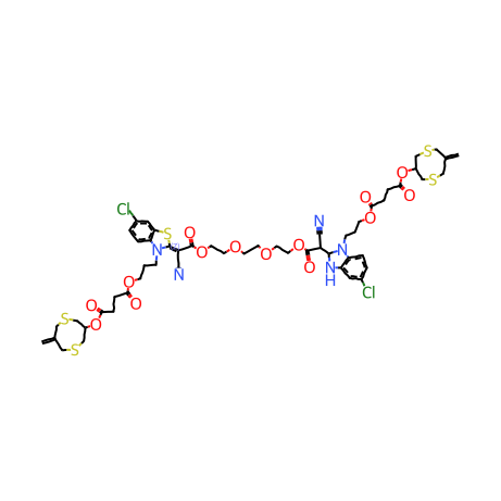 C=C1CSCC(OC(=O)CCC(=O)OCCCN2/C(=C(\C#N)C(=O)OCCOCCOCCOC(=O)C(C#N)C3Nc4cc(Cl)ccc4N3CCCOC(=O)CCC(=O)OC3CSCC(=C)CSC3)Sc3cc(Cl)ccc32)CSC1